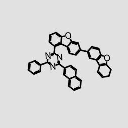 C1=Cc2c(oc3ccc(-c4ccc5c(c4)oc4cccc(-c6nc(-c7ccccc7)nc(-c7ccc8ccccc8c7)n6)c45)cc23)CC1